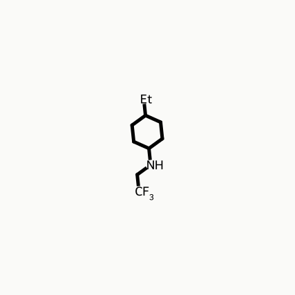 CCC1CCC(NCC(F)(F)F)CC1